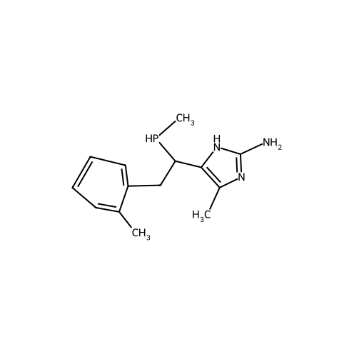 CPC(Cc1ccccc1C)c1[nH]c(N)nc1C